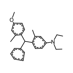 CCN(CC)c1ccc(C(c2ccccc2)c2ccc(OC)cc2C)c(C)c1